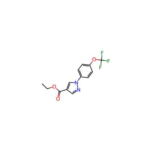 CCOC(=O)c1cnn(-c2ccc(OC(F)(F)F)cc2)c1